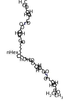 C=CC(=O)OCC1C[C@@H]2C3CC(CC3CCC(=O)/C=C/C(=O)OCC3C[C@@H]4C5CC(CC5COC(=O)CCCCCCC5C(CCCCCC)CCC(CCCCCCCC)C5CCCCCCC(=O)OCC5CC6CC5[C@@H]5CC(COC(=O)/C=C/C(=O)CCC7CC8CC7[C@H]7CC(COC(=O)C(=C)C)C[C@@H]87)C[C@H]65)[C@@H]4C3)[C@@H]2C1